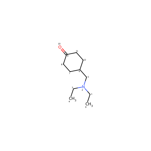 CCN(CC)CC1CCC(=O)CC1